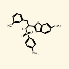 COc1ccc2nc(C(Cc3cccc(C#N)c3)NS(=O)(=O)c3ccc([N+](=O)[O-])cc3)sc2c1